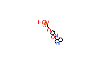 O=S(=O)(O)CCCOc1ccc2nc(-c3ccnc4ccccc34)oc2c1